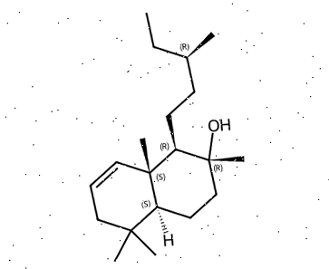 CC[C@@H](C)CC[C@@H]1[C@@]2(C)C=CCC(C)(C)[C@@H]2CC[C@@]1(C)O